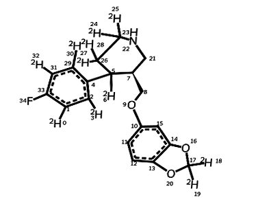 [2H]c1c([2H])c(C2([2H])[C@H](COc3ccc4c(c3)OC([2H])([2H])O4)CNC([2H])([2H])C2([2H])[2H])c([2H])c([2H])c1F